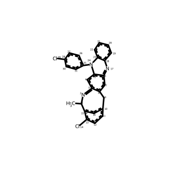 CC1N=c2cc3c(cc2Cc2ccc(Cl)c1c2)=Nc1ccccc1N3c1ccc(Cl)cc1